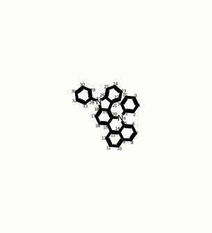 c1ccc(N2c3cccc4cccc(c34)-c3ccc4c(c32)c2ccccc2n4-c2ccccc2)cc1